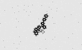 CC1(C)c2cc(-n3c4ccccc4c4cc(-c5ccc(-c6ccccc6)cc5)ccc43)ccc2-c2ccc3oc4ccccc4c3c21